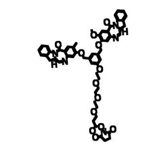 COc1cc2c(cc1OCc1cc(COc3cc4c(cc3C)C(=O)N3c5ccccc5C[C@H]3C=N4)cc(OCCOCCOCCOCCC(=O)ON3C(=O)CCC3=O)c1)N=C[C@@H]1Cc3ccccc3N1C2=O